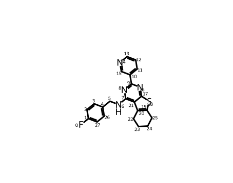 Fc1ccc(CNc2nc(-c3cccnc3)nc3sc4c(c23)CCCC4)cc1